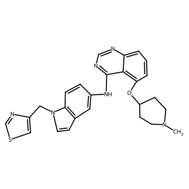 CN1CCC(Oc2cccc3ncnc(Nc4ccc5c(ccn5Cc5cscn5)c4)c23)CC1